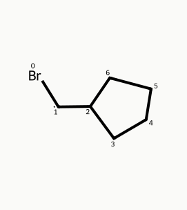 Br[CH]C1CCCC1